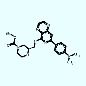 CN(C)c1ccc(-c2cc3nccnc3c(OC[C@@H]3CN(C(=O)OC(C)(C)C)CCO3)n2)cc1